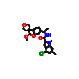 COC(=O)C1(c2ccc([C@@H](C)NC(=O)c3cc4c(Cl)cc(C)cc4n3C)cc2)CCOCC1